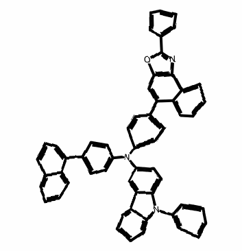 c1ccc(-c2nc3c(cc(-c4ccc(N(c5ccc(-c6cccc7ccccc67)cc5)c5ccc6c(c5)c5ccccc5n6-c5ccccc5)cc4)c4ccccc43)o2)cc1